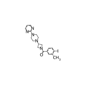 Cc1cc(C(=O)N2CC(N3CCN(c4ncccn4)CC3)C2)ccc1I